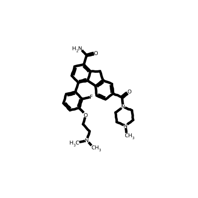 CN(C)CCOc1cccc(-c2ccc(C(N)=O)c3c2-c2ccc(C(=O)N4CCN(C)CC4)cc2C3)c1F